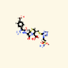 NC(C(=O)NC1C(=O)N2C(C(=O)O)=C(CSc3nnnn3CCS(N)(=O)=O)CS[C@H]12)c1ccc(CO)cc1